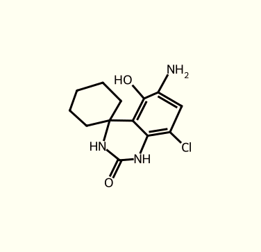 Nc1cc(Cl)c2c(c1O)C1(CCCCC1)NC(=O)N2